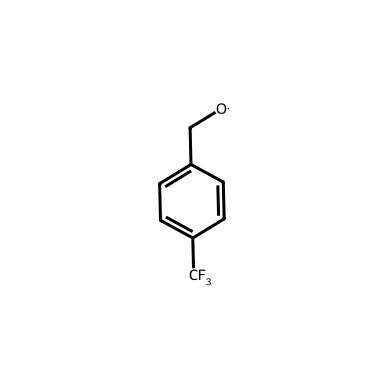 [O]Cc1ccc(C(F)(F)F)cc1